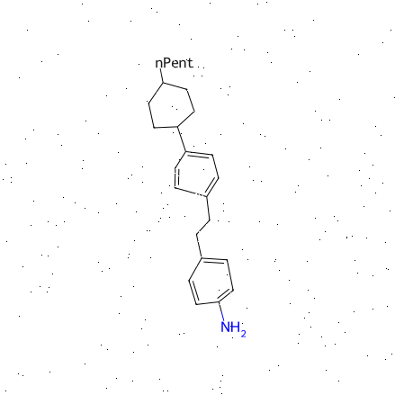 CCCCCC1CCC(c2ccc(CCc3ccc(N)cc3)cc2)CC1